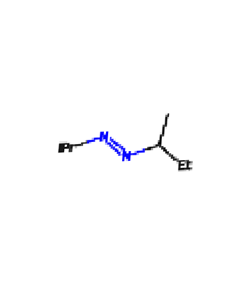 CCC(C)N=NC(C)C